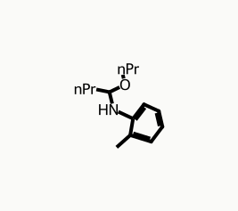 CCCOC(CCC)Nc1ccccc1C